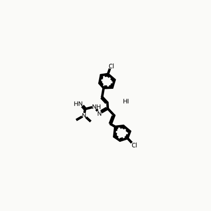 CN(C)C(=N)NN=C(/C=C/c1ccc(Cl)cc1)/C=C/c1ccc(Cl)cc1.I